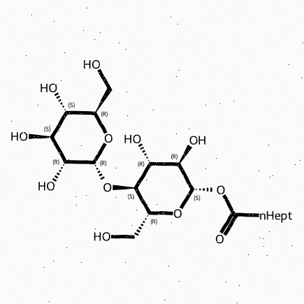 CCCCCCCC(=O)O[C@@H]1O[C@H](CO)[C@@H](O[C@H]2O[C@H](CO)[C@@H](O)[C@H](O)[C@H]2O)[C@H](O)[C@H]1O